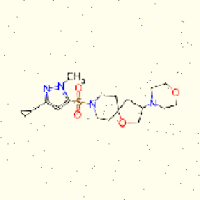 Cn1nc(C2CC2)cc1S(=O)(=O)N1CCC2(CC1)CC(N1CCOCC1)CO2